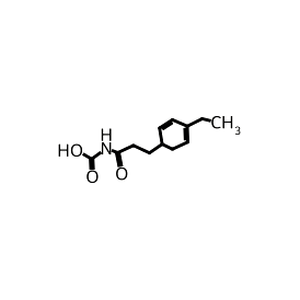 CCC1=CCC(CCC(=O)NC(=O)O)C=C1